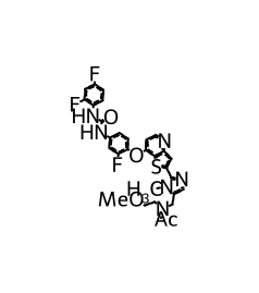 COCCN(Cc1cnc(-c2cc3nccc(Oc4ccc(NC(=O)Nc5ccc(F)cc5F)cc4F)c3s2)n1C)C(C)=O